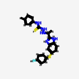 Cc1ccc(NC(=S)NNC(C)c2nc3cc(Sc4ccc(F)cc4)ccc3[nH]2)cc1